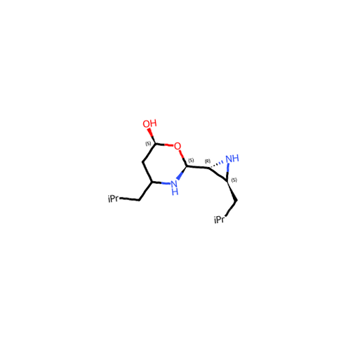 CC(C)CC1C[C@@H](O)O[C@@H]([C@@H]2N[C@H]2CC(C)C)N1